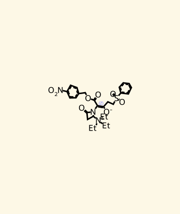 CC[N+](CC)(CC)C1CC(=O)N1/C(C(=O)OCc1ccc([N+](=O)[O-])cc1)=C(\[O-])CCS(=O)(=O)c1ccccc1